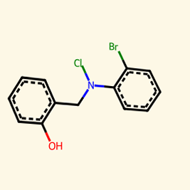 Oc1ccccc1CN(Cl)c1ccccc1Br